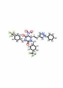 O=c1c([N+](=O)[O-])c(/C=C/c2cnn(-c3ccccc3)c2)n(Cc2ccc(C(F)(F)F)cc2)c(=O)n1Cc1ccc(C(F)(F)F)cc1